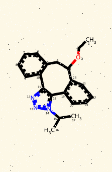 CCOC1Cc2ccccc2-c2nnn(C(C)C)c2-c2ccccc21